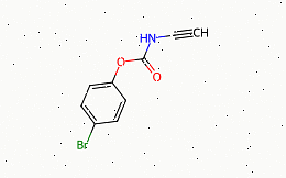 C#CNC(=O)Oc1ccc(Br)cc1